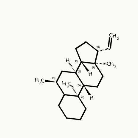 C=C[C@H]1CC[C@H]2[C@@H]3C[C@H](C)C4CCCC[C@]4(C)[C@H]3CC[C@]12C